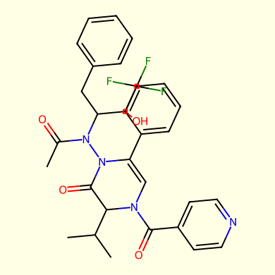 CC(=O)N(C(Cc1ccccc1)C(O)C(F)(F)F)N1C(=O)C(C(C)C)N(C(=O)c2ccncc2)C=C1c1ccccc1